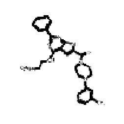 CC(=O)NCCNc1nc(-c2ccccc2)nc2[nH]c(C(=O)N3CCN(c4cccc(C(F)(F)F)c4)CC3)cc12